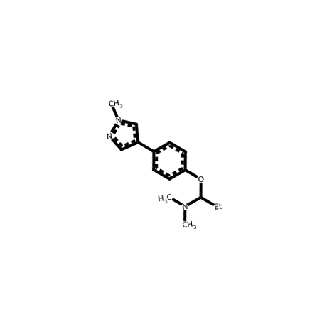 CCC(Oc1[c]cc(-c2cnn(C)c2)cc1)N(C)C